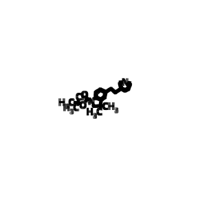 CC(C)(C)OC(=O)N1CC(C)(C)c2cc(CCc3cccnc3)ccc21